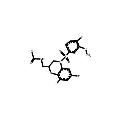 COc1cc(S(=O)(=O)N2CC(CNC(C)=O)Oc3c(F)cc(Br)cc32)ccc1F